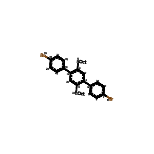 CCCCCCCCc1cc(-c2ccc(Br)cc2)c(CCCCCCCC)cc1-c1ccc(Br)cc1